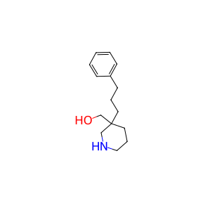 OCC1(CCCc2ccccc2)CCCNC1